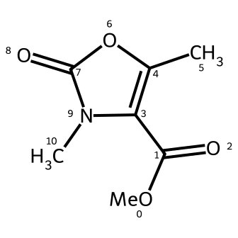 COC(=O)c1c(C)oc(=O)n1C